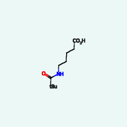 CC(C)(C)C(=O)NCCCCC(=O)O